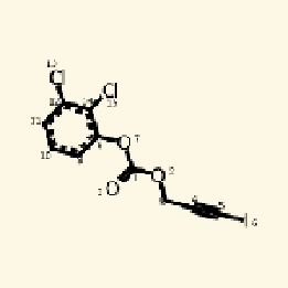 O=C(OCC#CI)Oc1cccc(Cl)c1Cl